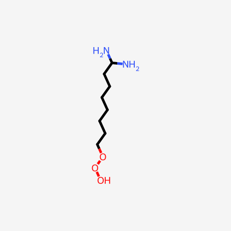 NC(N)CCCCCCCOOO